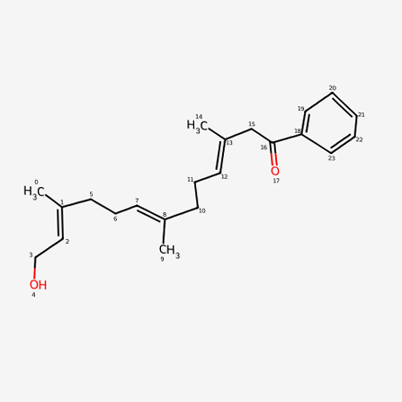 CC(=CCO)CCC=C(C)CCC=C(C)CC(=O)c1ccccc1